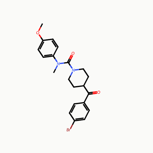 COc1ccc(N(C)C(=O)N2CCC(C(=O)c3ccc(Br)cc3)CC2)cc1